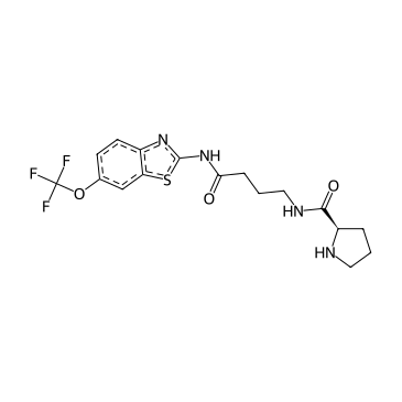 O=C(CCCNC(=O)[C@H]1CCCN1)Nc1nc2ccc(OC(F)(F)F)cc2s1